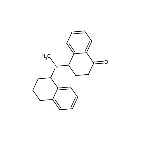 CN(C1CCCc2ccccc21)C1CCC(=O)c2ccccc21